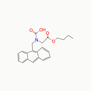 CCCCOC(=O)CN(Cc1c2ccccc2cc2ccccc12)C(=O)O